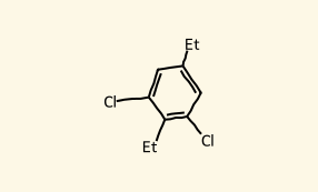 CCc1cc(Cl)c(CC)c(Cl)c1